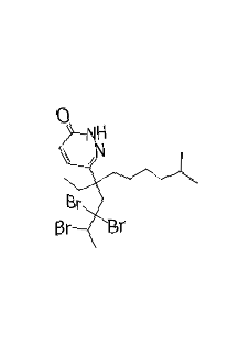 CCC(CCCCC(C)C)(CC(Br)(Br)C(C)Br)c1ccc(=O)[nH]n1